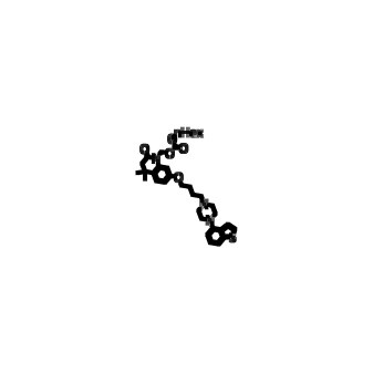 CCCCCCOC(=O)OCN1C(=O)CC(C)(C)c2ccc(OCCCCN3CCN(c4cccc5sccc45)CC3)cc21